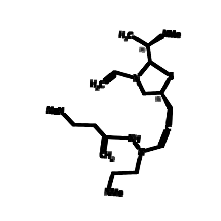 C=CN1C[C@H](C=C=CN(CCNC)NC(=C)CCNC)SC1[C@@H](C)NC